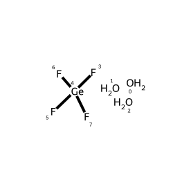 O.O.O.[F][Ge]([F])([F])[F]